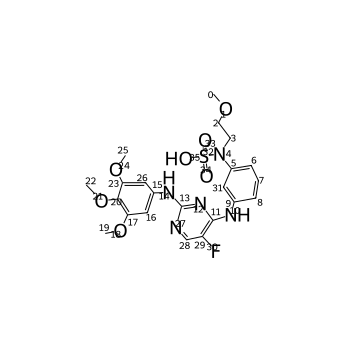 COCCN(c1cccc(Nc2nc(Nc3cc(OC)c(OC)c(OC)c3)ncc2F)c1)S(=O)(=O)O